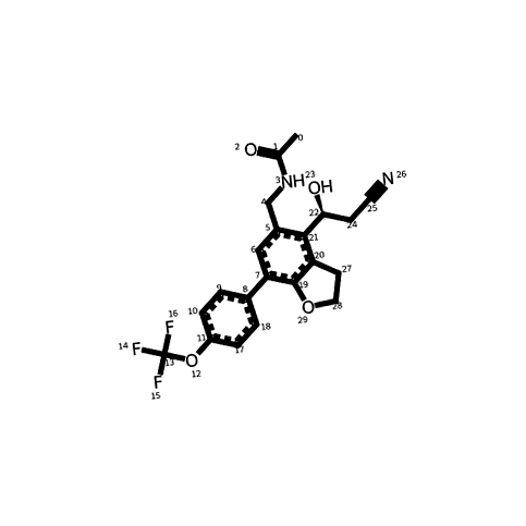 CC(=O)NCc1cc(-c2ccc(OC(F)(F)F)cc2)c2c(c1[C@@H](O)CC#N)CCO2